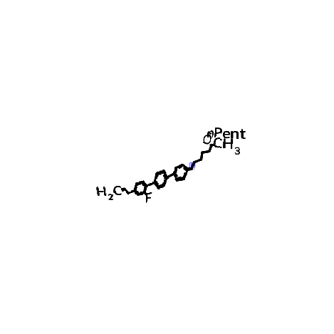 C=CCc1ccc(-c2ccc(-c3ccc(/C=C/CCCC(C)OCCCCC)cc3)cc2)c(F)c1